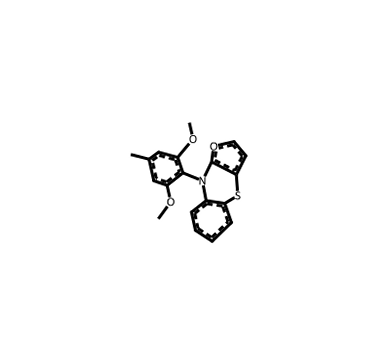 COc1cc(C)cc(OC)c1N1c2ccccc2Sc2ccoc21